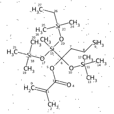 C=C(C)C(=O)OC(CC[SiH3])(O[Si](C)(C)C)[Si](C)(O[Si](C)(C)C)O[Si](C)(C)CC